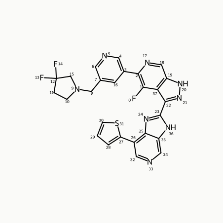 Fc1c(-c2cncc(CN3CCC(F)(F)C3)c2)ncc2[nH]nc(-c3nc4c(-c5cccs5)cncc4[nH]3)c12